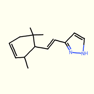 CC1C=CCC(C)(C)C1/C=C/c1cc[nH]n1